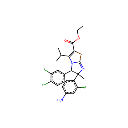 CCOC(=O)C1=C(C(C)C)N2C(=NC(C)(c3ccc(N)cc3F)C2c2ccc(Cl)c(F)c2)S1